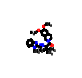 COc1cc2c(cc1OC)CN(C(=O)C(NCc1nc3ccccc3n1C)C(C)(C)C)CC2